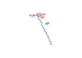 CCCCCCCCCCCCCCCCCCN(C(C)CN)C(O)(O)O.F.F